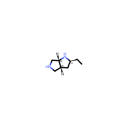 CC[C@H]1C[C@@H]2CNC[C@@H]2N1